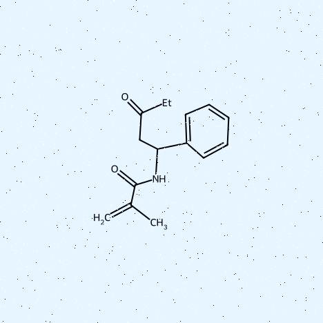 C=C(C)C(=O)NC(CC(=O)CC)c1ccccc1